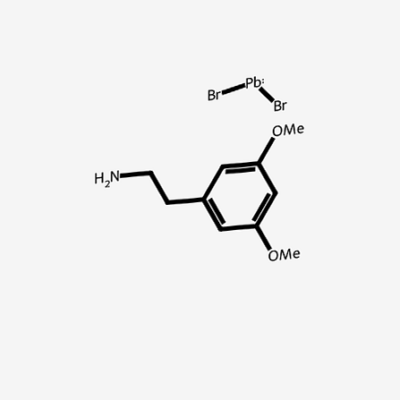 COc1cc(CCN)cc(OC)c1.[Br][Pb][Br]